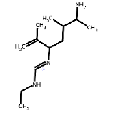 C=C(C)C(CC(C)C(C)N)/N=C/NCC